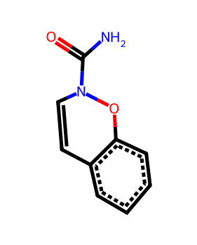 NC(=O)N1C=Cc2ccccc2O1